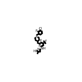 Cc1cc(Nc2cc(C(C)(C)F)c(F)c(CC3CCN(Cc4cccc(Cl)c4F)CC3)n2)n[nH]1